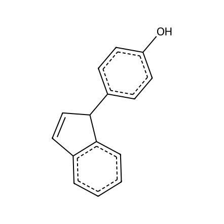 Oc1ccc(C2C=Cc3ccccc32)cc1